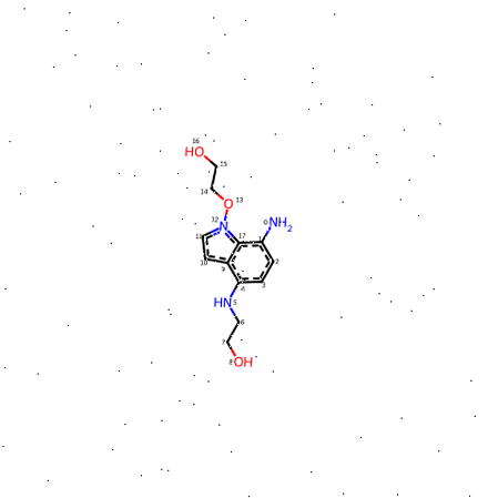 Nc1ccc(NCCO)c2ccn(OCCO)c12